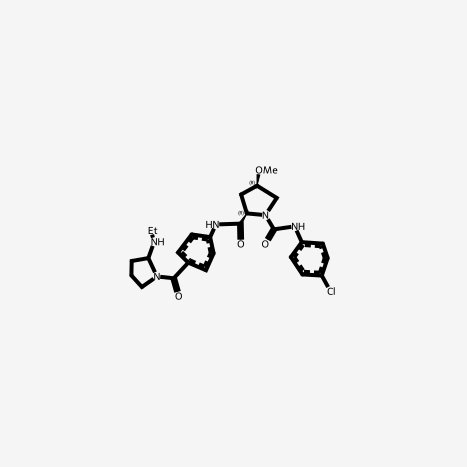 CCNC1CCCN1C(=O)c1ccc(NC(=O)[C@H]2C[C@@H](OC)CN2C(=O)Nc2ccc(Cl)cc2)cc1